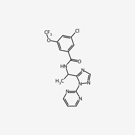 CC(NC(=O)c1cc(Cl)cc(OC(F)(F)F)c1)c1ncnn1-c1ncccn1